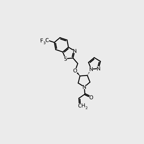 C=CC(=O)N1C[C@@H](n2cccn2)[C@H](OCc2nc3ccc(C(F)(F)F)cc3s2)C1